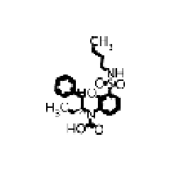 CCCCNS(=O)(=O)c1cccc(N(C(=O)O)[C@@H](CC)Cc2ccccc2)c1O